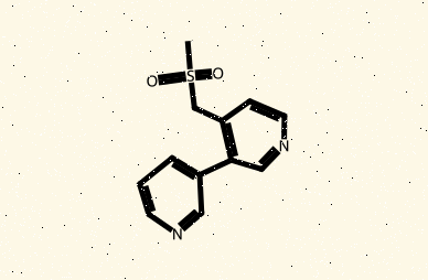 [CH2]S(=O)(=O)Cc1ccncc1-c1cccnc1